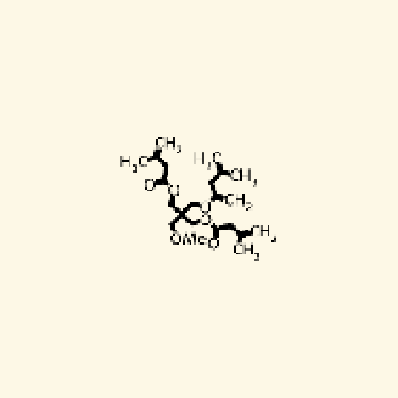 C=C(C)CC(=C)OCC(COC)(COC(=O)CC(=C)C)COC(=O)CC(=C)C